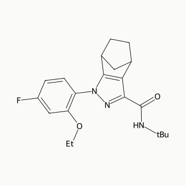 CCOc1cc(F)ccc1-n1nc(C(=O)NC(C)(C)C)c2c1C1CCC2C1